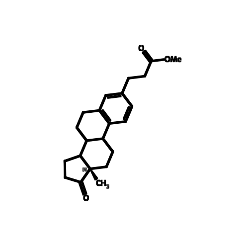 COC(=O)CCc1ccc2c(c1)CCC1C2CC[C@]2(C)C(=O)CCC12